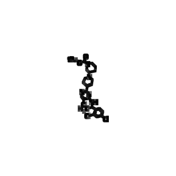 CC(Nc1nc(C2=CCN(C3CCCN(C(=O)OC(C)(C)C)C3)CC2)ncc1Cl)c1ccc(Cl)cc1Cl